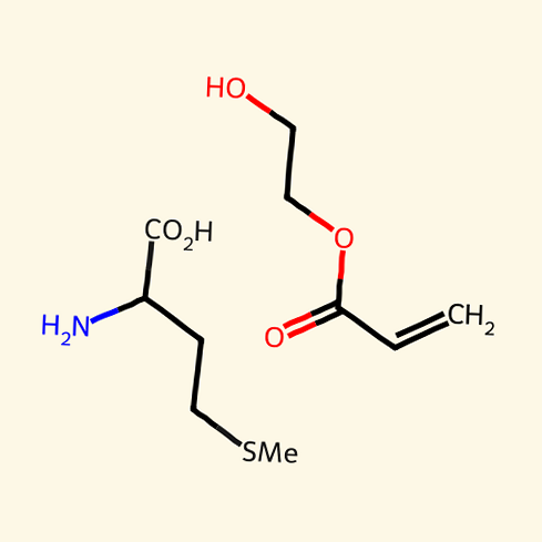 C=CC(=O)OCCO.CSCCC(N)C(=O)O